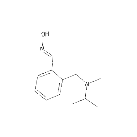 CC(C)N(C)Cc1ccccc1C=NO